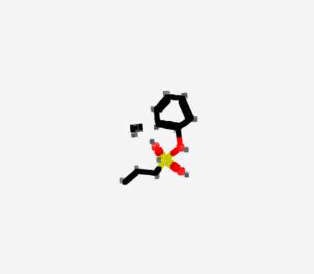 CCCS(=O)(=O)Oc1ccccc1.[LiH]